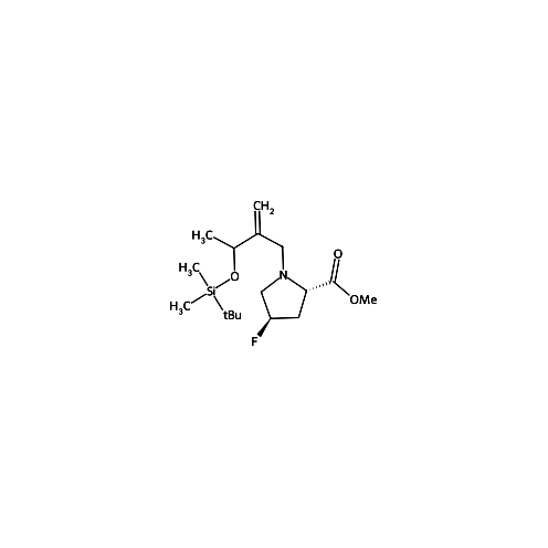 C=C(CN1C[C@H](F)C[C@H]1C(=O)OC)C(C)O[Si](C)(C)C(C)(C)C